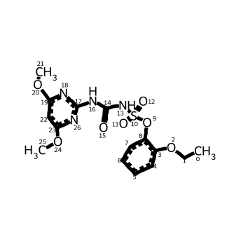 CCOc1ccccc1OS(=O)(=O)NC(=O)Nc1nc(OC)cc(OC)n1